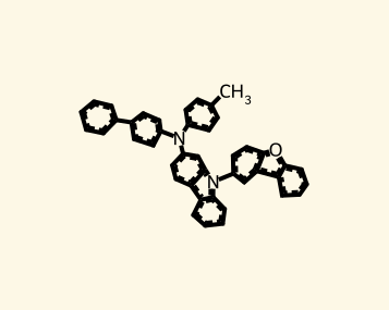 Cc1ccc(N(c2ccc(-c3ccccc3)cc2)c2ccc3c4ccccc4n(-c4ccc5oc6ccccc6c5c4)c3c2)cc1